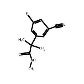 CNC(=O)C(C)(C)c1cc(F)cc(C#N)c1